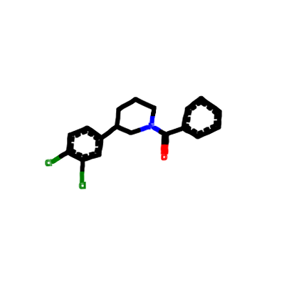 O=C(c1ccccc1)N1CCCC(c2ccc(Cl)c(Cl)c2)C1